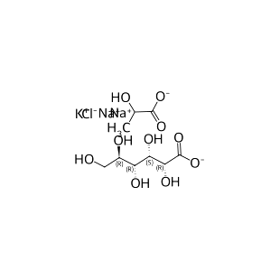 CC(O)C(=O)[O-].O=C([O-])[C@H](O)[C@@H](O)[C@H](O)[C@H](O)CO.[Cl-].[K+].[Na+].[Na+]